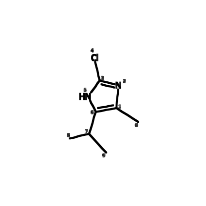 Cc1nc(Cl)[nH]c1C(C)C